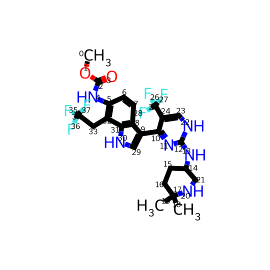 COC(=O)Nc1ccc2c(C3=NC(NC4CCC(C)(C)NC4)NC=C3C(F)(F)F)c[nH]c2c1CC(F)(F)F